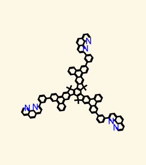 CC1(C)c2cc3c4ccc(-c5cccc(-c6ccc7ccc8cccnc8c7n6)c5)cc4c4ccccc4c3cc2-c2c1c1c(c3c2C(C)(C)c2cc4c5ccc(-c6cccc(-c7ccc8ccc9cccnc9c8n7)c6)cc5c5ccccc5c4cc2-3)C(C)(C)c2cc3c4ccc(-c5cccc(-c6ccc7ccc8cccnc8c7n6)c5)cc4c4ccccc4c3cc2-1